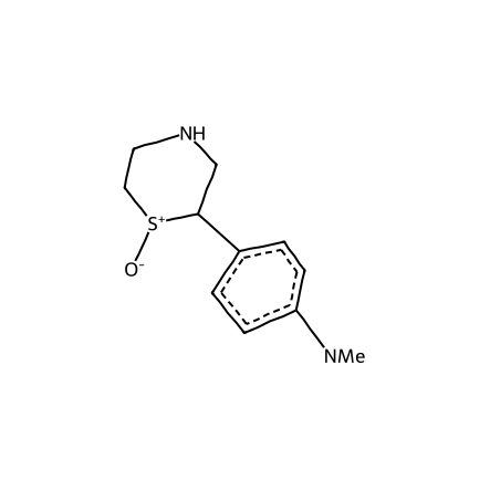 CNc1ccc(C2CNCC[S+]2[O-])cc1